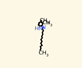 CCCCCCCCCCCCCc1nc2c(C)c(C)ccc2[nH]1